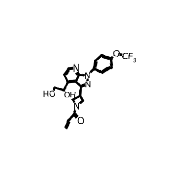 C=CC(=O)N1CC(c2nn(-c3ccc(OC(F)(F)F)cc3)c3nccc([C@@H](O)CO)c23)C1